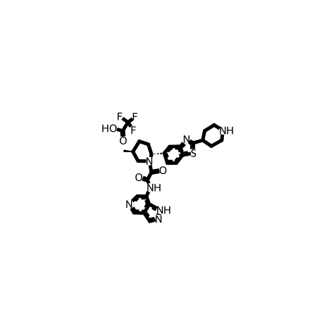 C[C@H]1CC[C@H](c2ccc3sc(C4CCNCC4)nc3c2)N(C(=O)C(=O)Nc2cncc3cn[nH]c23)C1.O=C(O)C(F)(F)F